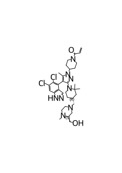 C=CC(=O)N1CCC(n2nc(N3CC[C@@H](CN4CCN(C)[C@H](CO)C4)CC3(C)C)c(-c3c(Cl)c(Cl)cc4[nH]ncc34)c2C)CC1